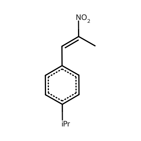 CC(=Cc1ccc(C(C)C)cc1)[N+](=O)[O-]